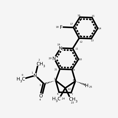 CN(C)C(=O)[C@]12CC[C@H](c3cc(-c4ccccc4F)nnc31)C2(C)C